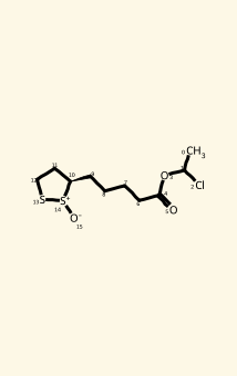 CC(Cl)OC(=O)CCCC[C@@H]1CCS[S+]1[O-]